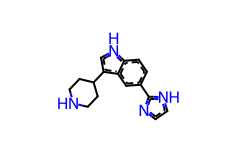 c1c[nH]c(-c2ccc3[nH]cc(C4CCNCC4)c3c2)n1